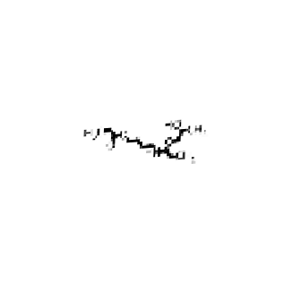 C=CC(=O)OCCCCNC(=CC)OCC(C)O